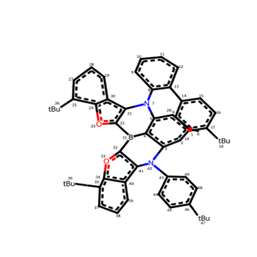 Cc1cc2c3c(c1)N(c1ccccc1-c1ccc(C(C)(C)C)cc1)c1c(oc4c(C(C)(C)C)cccc14)B3c1oc3c(C(C)(C)C)cccc3c1N2c1ccc(C(C)(C)C)cc1